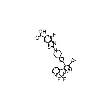 O=C(O)c1cc(F)c2nc(N3CCC4(C=C(c5c(-c6cccnc6C(F)(F)F)noc5C5CC5)C4)CC3)sc2c1